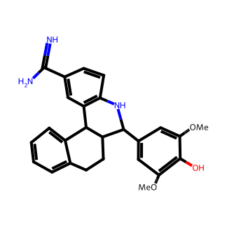 COc1cc(C2Nc3ccc(C(=N)N)cc3C3c4ccccc4CCC23)cc(OC)c1O